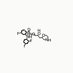 O=C(NOCC(O)CC1CNCCO1)c1ccc(F)cc1Nc1ccc(I)cc1F